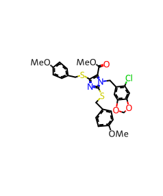 COC(=O)c1c(SCc2ccc(OC)cc2)nc(SCc2ccc(OC)cc2)n1Cc1cc2c(cc1Cl)OCO2